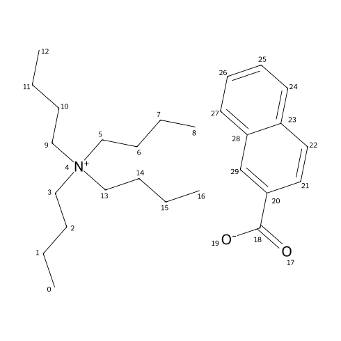 CCCC[N+](CCCC)(CCCC)CCCC.O=C([O-])c1ccc2ccccc2c1